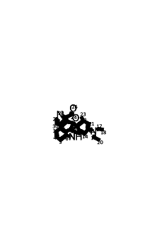 CCc1cccc2[nH]c(C)c(C3(c4ccc(N(CC)CC)cc4C)OC(=O)c4ncccc43)c12